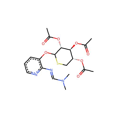 CC(=O)O[C@H]1[C@H](OC(C)=O)CSC(Oc2cccnc2/N=C/N(C)C)[C@@H]1OC(C)=O